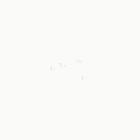 B.[Co].[Cr].[Pt].[Re].[Ta]